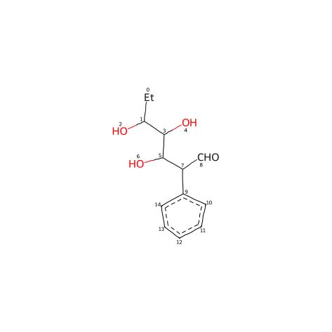 CCC(O)C(O)C(O)C(C=O)c1ccccc1